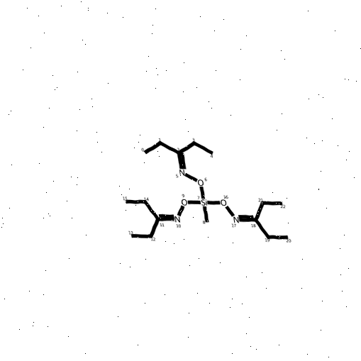 CCC(CC)=NO[Si](C)(ON=C(CC)CC)ON=C(CC)CC